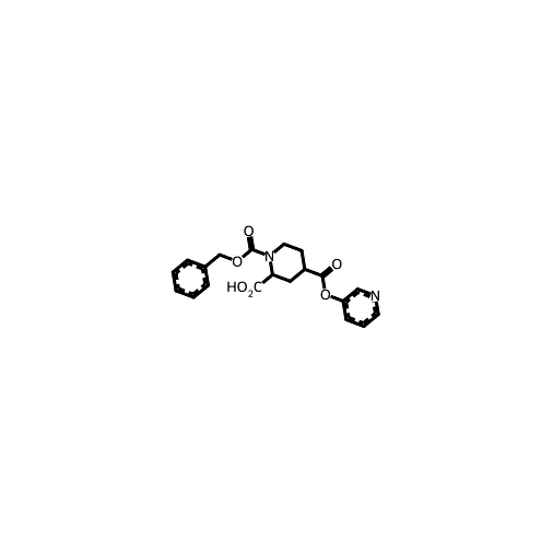 O=C(Oc1cccnc1)C1CCN(C(=O)OCc2ccccc2)C(C(=O)O)C1